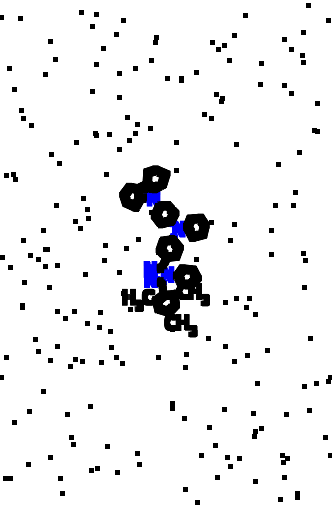 Cc1cc(C)c(-c2nnc(-c3ccc(N(c4ccccc4)c4ccc(-n5c6ccccc6c6ccccc65)cc4)cc3)n2-c2ccccc2)c(C)c1